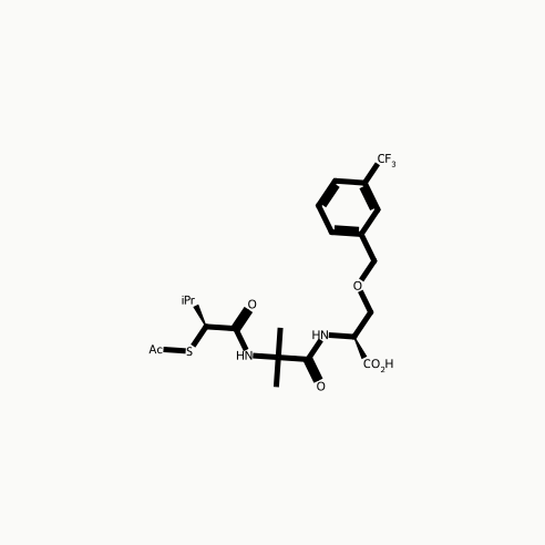 CC(=O)S[C@H](C(=O)NC(C)(C)C(=O)N[C@@H](COCc1cccc(C(F)(F)F)c1)C(=O)O)C(C)C